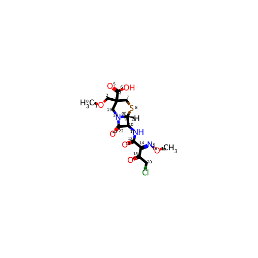 COCC1(C(=O)O)CS[C@@H]2C(NC(=O)C(=NOC)C(=O)CCl)C(=O)N2C1